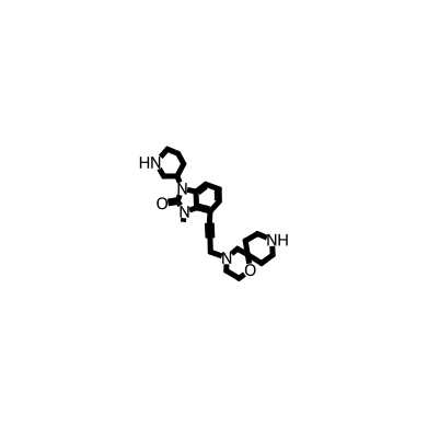 Cn1c(=O)n(C2CCCNC2)c2cccc(C#CCN3CCOC4(CCNCC4)C3)c21